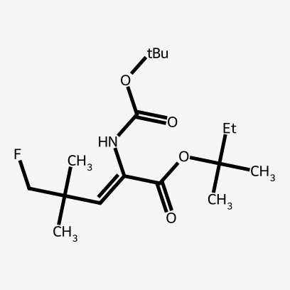 CCC(C)(C)OC(=O)/C(=C/C(C)(C)CF)NC(=O)OC(C)(C)C